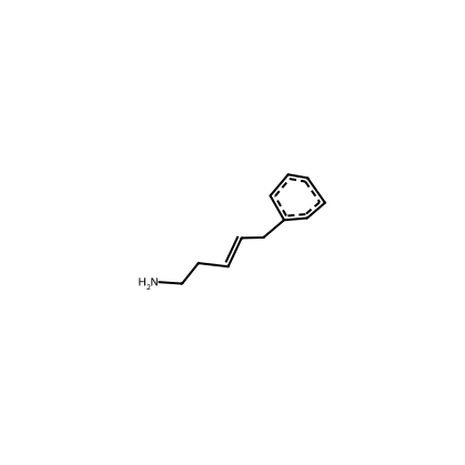 NCCC=CCc1ccccc1